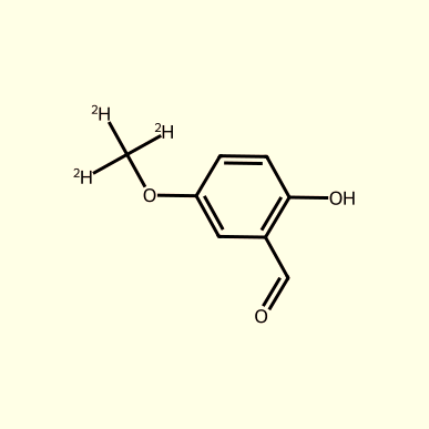 [2H]C([2H])([2H])Oc1ccc(O)c(C=O)c1